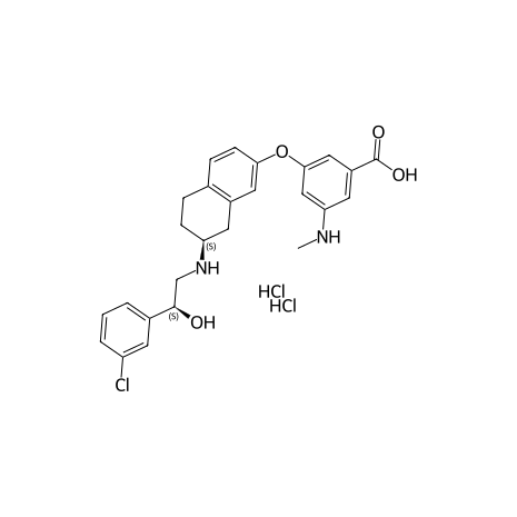 CNc1cc(Oc2ccc3c(c2)C[C@@H](NC[C@@H](O)c2cccc(Cl)c2)CC3)cc(C(=O)O)c1.Cl.Cl